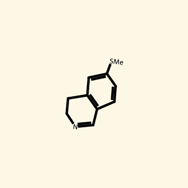 CSc1ccc2c(c1)CCN=C2